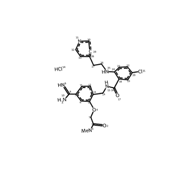 CNC(=O)COc1cc(C(=N)N)ccc1CNC(=O)c1cc(Cl)ccc1NCCc1ccncc1.Cl